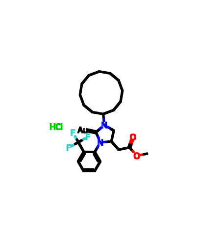 COC(=O)CC1CN(C2CCCCCCCCCCC2)[C](=[Au])N1c1ccccc1C(F)(F)F.Cl